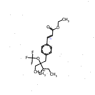 CCOC(=O)/C=C/c1ccc(CC(CC)(OC(F)(F)F)[C@H](C)CC)cc1